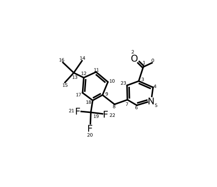 CC(=O)c1cncc(Cc2ccc(C(C)(C)C)cc2C(F)(F)F)c1